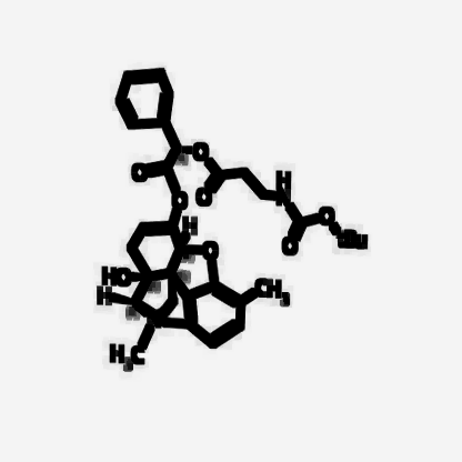 Cc1ccc2c3c1O[C@H]1C(OC(=O)[C@@H](OC(=O)CCNC(=O)OC(C)(C)C)c4ccccc4)=CC[C@@]4(O)[C@@H](C2)N(C)CC[C@]314